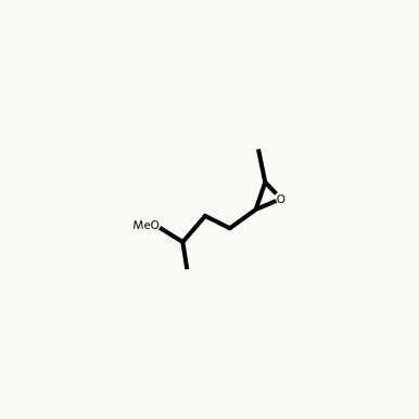 COC(C)CCC1OC1C